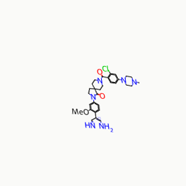 COc1cc(N2CCC3(CCN(C(=O)c4ccc(N5CCN(C)CC5)cc4Cl)CC3)C2=O)ccc1/C(C=N)=C/N